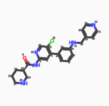 O=C(Nc1cc(-c2cccc(NCc3ccncc3)c2)c(Cl)cn1)[C@@H]1CCCNC1